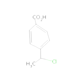 CC(Cl)c1ccc(C(=O)O)cc1